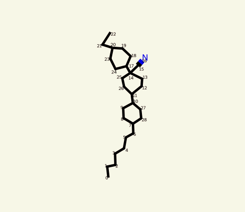 CCCCCCCC1CCC(C2CCC(C#N)(C3CCC(CC)CC3)CC2)CC1